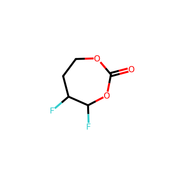 O=C1OCCC(F)C(F)O1